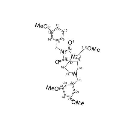 COCCN1C(=O)N(Cc2cccc(OC)c2)C(=O)C12CCN(Cc1cc(OC)cc(OC)c1)CC2